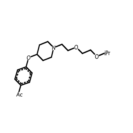 CC(=O)c1ccc(OC2CCN(CCOCCOC(C)C)CC2)cc1